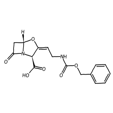 O=C(NC/C=C1/O[C@H]2CC(=O)N2[C@@H]1C(=O)O)OCc1ccccc1